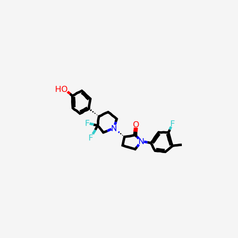 Cc1ccc(N2CC[C@H](N3CC[C@@H](c4ccc(O)cc4)C(F)(F)C3)C2=O)cc1F